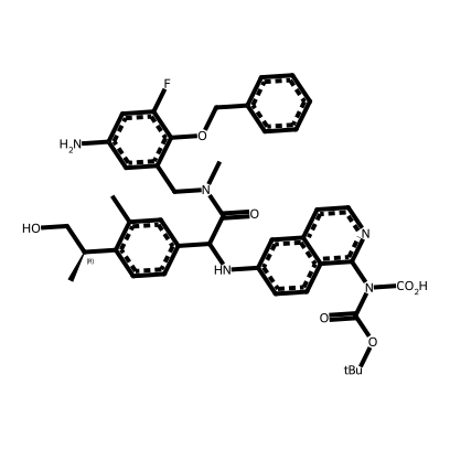 Cc1cc(C(Nc2ccc3c(N(C(=O)O)C(=O)OC(C)(C)C)nccc3c2)C(=O)N(C)Cc2cc(N)cc(F)c2OCc2ccccc2)ccc1[C@@H](C)CO